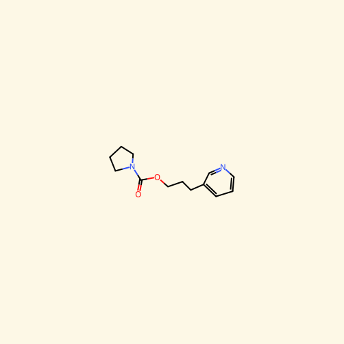 O=C(OCCCc1cccnc1)N1CCCC1